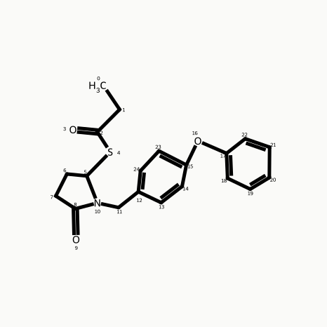 CCC(=O)SC1CCC(=O)N1Cc1ccc(Oc2ccccc2)cc1